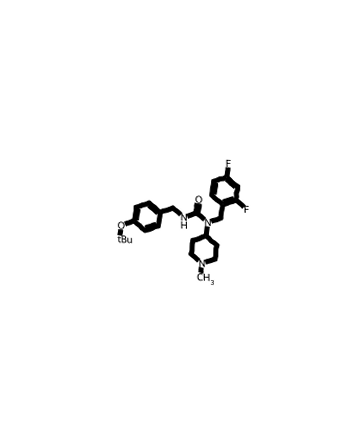 CN1CCC(N(Cc2ccc(F)cc2F)C(=O)NCc2ccc(OC(C)(C)C)cc2)CC1